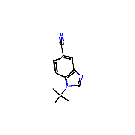 C[Si](C)(C)n1cnc2cc(C#N)ccc21